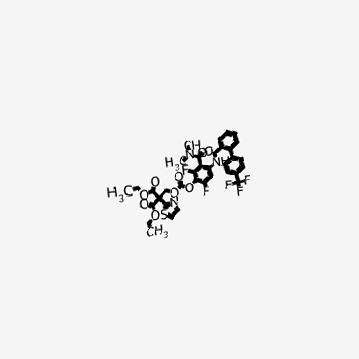 CCOC(=O)C(COC(=O)Oc1c(F)cc(NC(=O)c2ccccc2-c2ccc(C(F)(F)F)cc2)c(C(=O)N(C)C)c1F)(C(=O)OCC)c1nccs1